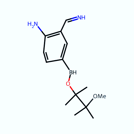 COC(C)(C)C(C)(C)OBc1ccc(N)c(C=N)c1